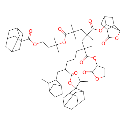 CC1C2CCC(C2)C1CC(CCCC(C)(CC(C)(CC(C)(C)C(=O)OC(C)(C)CCOC(=O)C12CC3CC(CC(C3)C1)C2)C(=O)OC1C2CC3C(=O)OC1C3C2)C(=O)OC1CCOC1=O)C(=O)OC1(C(C)C)C2CC3CC(C2)CC1C3